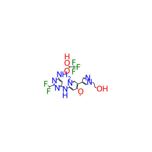 COc1cc(Nc2cc(N)nc(C(F)F)n2)ncc1-c1cnn(CCO)c1.O=C(O)C(F)(F)F